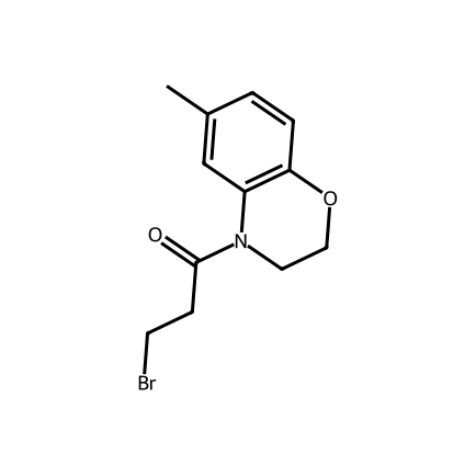 Cc1ccc2c(c1)N(C(=O)CCBr)CCO2